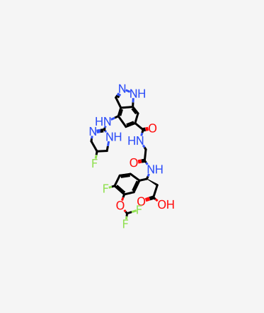 O=C(O)C[C@H](NC(=O)CNC(=O)c1cc(NC2=NCC(F)CN2)c2cn[nH]c2c1)c1ccc(F)c(OC(F)F)c1